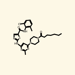 CCCCCCC(=O)N1CCN(c2cc(Nc3ncc(C(=O)Nc4c(C)cccc4Cl)s3)nc(C)n2)CC1